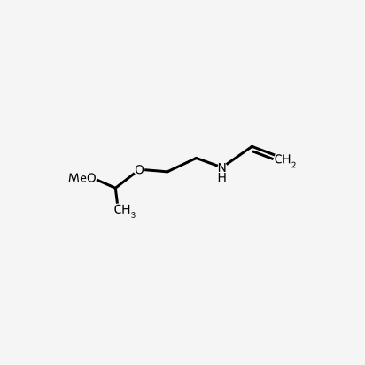 C=CNCCOC(C)OC